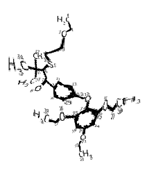 CCOCCSC(C(=O)c1ccc(Oc2c(OCC)cc(OCC)cc2OCC)cc1)C(C)(C)C